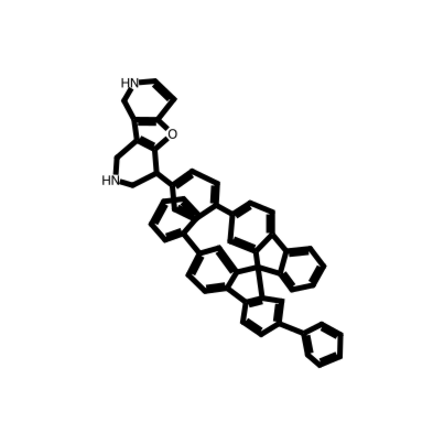 C1=Cc2oc3c(c2CN1)CNCC3c1ccc(-c2ccc3c(c2)C2(c4ccccc4-3)c3cc(-c4ccccc4)ccc3-c3ccc(-c4ccccc4)cc32)cc1